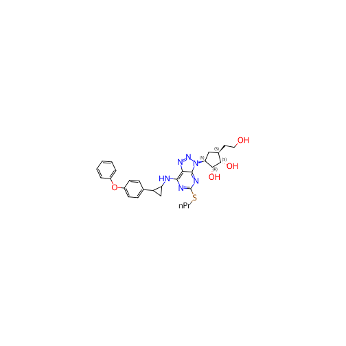 CCCSc1nc(NC2CC2c2ccc(Oc3ccccc3)cc2)c2nnn([C@H]3C[C@@H](CCO)[C@H](O)[C@@H]3O)c2n1